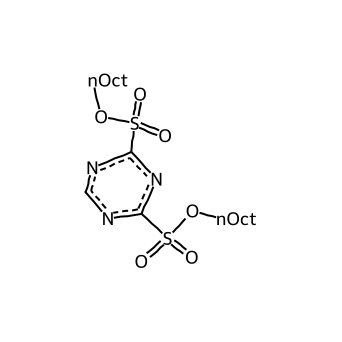 CCCCCCCCOS(=O)(=O)c1ncnc(S(=O)(=O)OCCCCCCCC)n1